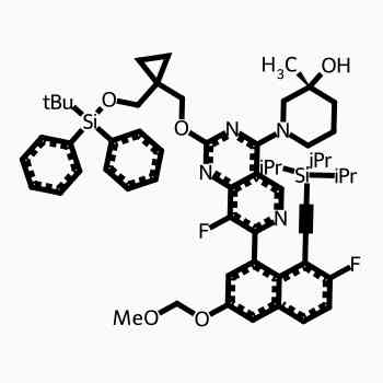 COCOc1cc(-c2ncc3c(N4CCC[C@@](C)(O)C4)nc(OCC4(CO[Si](c5ccccc5)(c5ccccc5)C(C)(C)C)CC4)nc3c2F)c2c(C#C[Si](C(C)C)(C(C)C)C(C)C)c(F)ccc2c1